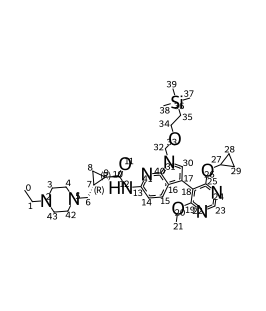 CCN1CCN(C[C@@H]2C[C@H]2C(=O)Nc2ccc3c(-c4c(OC)ncnc4OC4CC4)cn(COCC[Si](C)(C)C)c3n2)CC1